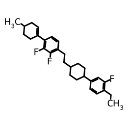 CCc1ccc(C2CCC(CCc3ccc(C4=CCC(C)CC4)c(F)c3F)CC2)cc1F